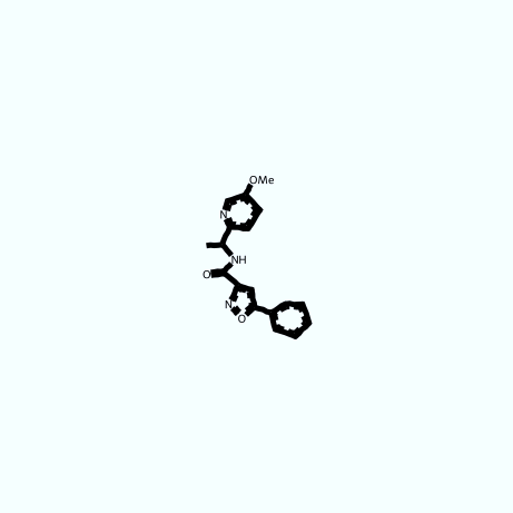 COc1ccc(C(C)NC(=O)c2cc(-c3ccccc3)on2)nc1